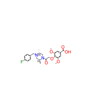 COc1cc(C(=O)O)cc(OC)c1OCC(=O)N1C[C@@H](C)N(Cc2ccc(F)cc2)C[C@@H]1C